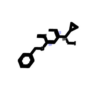 C=N/C(=C\C(=C/C)[C@@H](CI)C1CC1)OCc1ccccc1